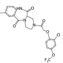 O=C1Nc2ccc(Br)cc2C(=O)N2CCN(C(=O)COc3ccc(OC(F)(F)F)cc3Cl)CC12